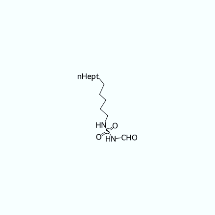 CCCCCCCCCCCCNS(=O)(=O)NC=O